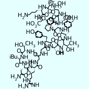 CC[C@H](C)[C@H](NC(=O)[C@@H](N)[C@@H](C)O)C(=O)N[C@@H](CC(N)=O)C(=O)N[C@@H](CCCNC(=N)N)C(=O)NCC(=O)NCC(=O)N[C@@H](Cc1ccc(O)cc1)C(=O)N[C@@H](CO)C(=O)N[C@H](C(=O)N[C@@H](Cc1ccc(O)cc1)C(=O)N[C@@H](Cc1ccc(O)cc1)C(=O)N1CCC[C@H]1C(=O)N[C@@H](CC(=O)O)C(=O)N[C@@H](CO)C(=O)N[C@H](C(=O)N[C@@H](CCCCN)C(=O)NCC(=O)O)C(C)C)[C@@H](C)O